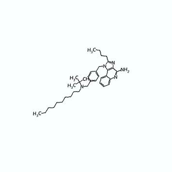 CCCCCCCCCCN(Cc1ccc(Cn2c(CCCC)nc3c(N)nc4ccccc4c32)cc1)C(C)(C)C